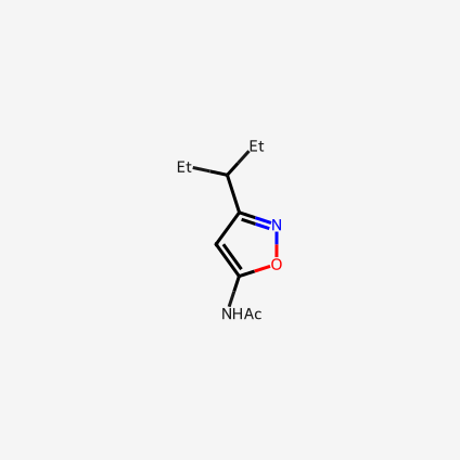 CCC(CC)c1cc(NC(C)=O)on1